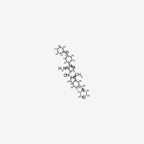 Cn1c(C(=O)c2cnn(-c3ccc(Oc4ccccc4)cc3)c2N)cc2ccc(CN3CCOCC3)cc21